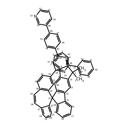 CC1(C)c2ccccc2-c2cc3c(cc21)-c1ccccc1C31c2ccccc2C=Cc2ccc(-c3nc(-c4ccccc4)nc(-c4ccc(-c5cccnc5)cc4)n3)cc21